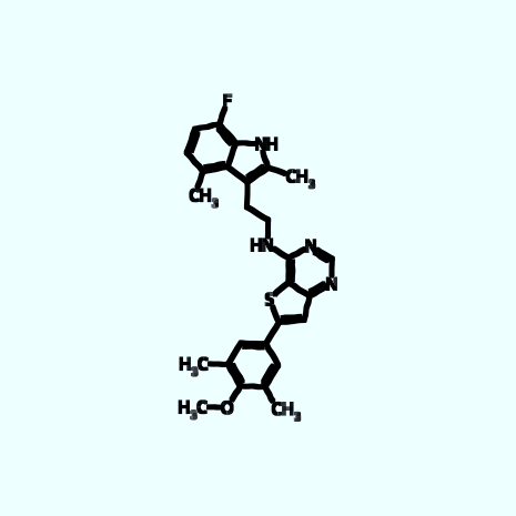 COc1c(C)cc(-c2cc3ncnc(NCCc4c(C)[nH]c5c(F)ccc(C)c45)c3s2)cc1C